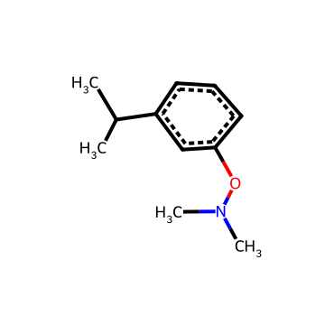 CC(C)c1cccc(ON(C)C)c1